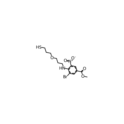 COC(=O)c1cc(Br)c(NCCCOCCCS)c([N+](=O)[O-])c1